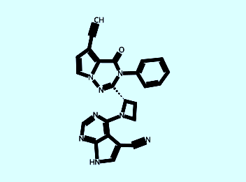 C#Cc1ccn2nc([C@@H]3CCN3c3ncnc4[nH]cc(C#N)c34)n(-c3ccccc3)c(=O)c12